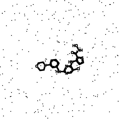 O=C(NO)c1sccc1Nc1nc(Nc2cccc(N3CCOCC3)c2)ncc1Cl